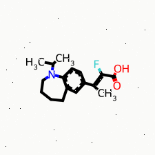 CC(=C(F)C(=O)O)c1ccc2c(c1)CCCCN2C(C)C